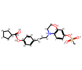 CS(=O)(=O)Oc1ccc2c(c1)OCCN2CCCc1ccc(OC(=O)C2CCCC2)cc1